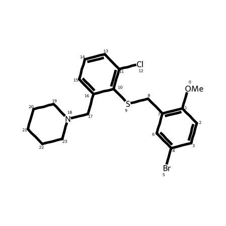 COc1ccc(Br)cc1CSc1c(Cl)cccc1CN1CCCCC1